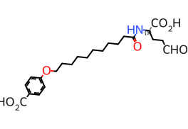 O=[C]CC[C@H](NC(=O)CCCCCCCCCCOc1ccc(C(=O)O)cc1)C(=O)O